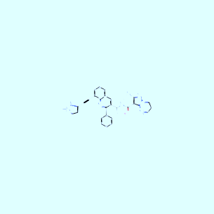 CC(NC(=O)c1c(N)nn2cccnc12)c1cc2cccc(C#Cc3ccn(C)n3)c2nc1-c1ccccc1